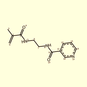 C=C(C)C(=O)NCCNC(=O)c1cccnc1